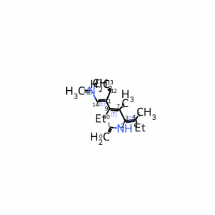 C=CNC(=C(/C)CC)/C(C)=C(CC)/C(C=C)=C/N(C)C